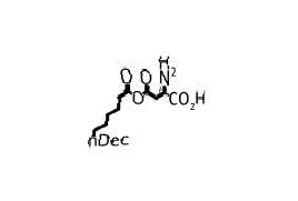 CCCCCCCCCCCCCCCC(=O)OC(=O)C[C@H](N)C(=O)O